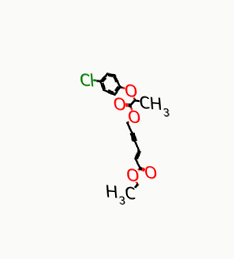 CCOC(=O)C=CC#CCOC(=O)C(C)Oc1ccc(Cl)cc1